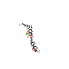 CCCCCc1ccc2c(c1F)Oc1c(cc(OCCCC3CCC(C4=COC(CCC)CC4)CC3)c(F)c1F)C2